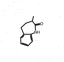 CC1CCc2ccccc2NC1=O